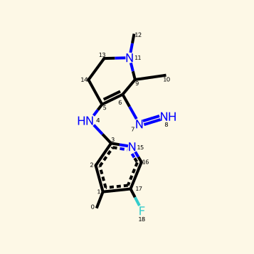 Cc1cc(NC2=C(N=N)C(C)N(C)CC2)ncc1F